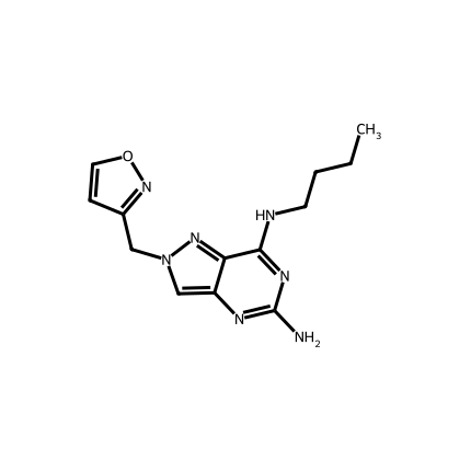 CCCCNc1nc(N)nc2cn(Cc3ccon3)nc12